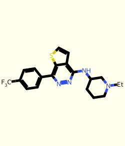 CCN1CCCC(Nc2nnc(-c3ccc(C(F)(F)F)cc3)c3sccc23)C1